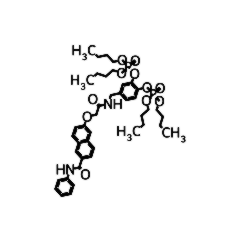 CCCCOP(=O)(OCCCC)Oc1ccc(CNC(=O)COc2ccc3cc(C(=O)Nc4ccccc4)ccc3c2)cc1OP(=O)(OCCCC)OCCCC